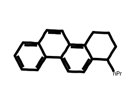 CCCC1CCCc2c1ccc1c2ccc2ccccc21